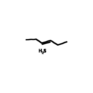 CCC=CCC.S